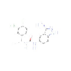 C[C@H](NC(=O)Nc1ccc2[nH]nc(N)c2c1)c1ccc(F)c(Cl)c1